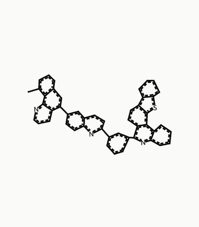 Cc1cccc2cc(-c3ccc4nc(-c5cccc(-c6nc7ccccc7c7c6ccc6c8ccccc8sc67)c5)ccc4c3)c3cccnc3c12